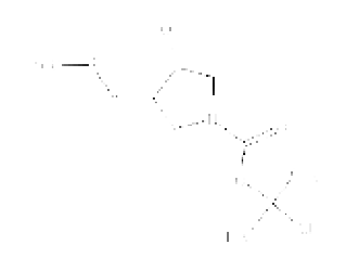 CSC[C@H]1CN(C(=O)OC(C)(C)C)C[C@H]1O